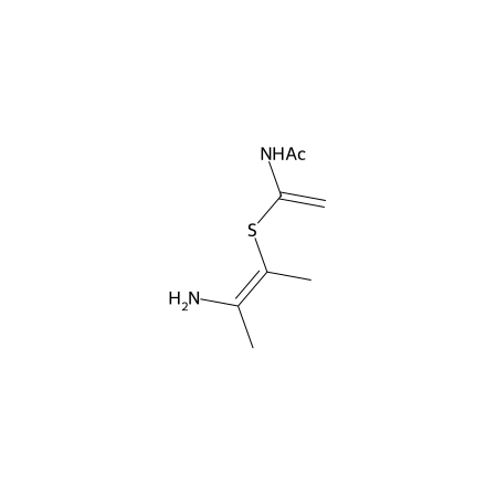 C=C(NC(C)=O)S/C(C)=C(/C)N